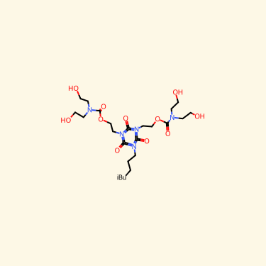 CCC(C)CCCn1c(=O)n(CCOC(=O)N(CCO)CCO)c(=O)n(CCOC(=O)N(CCO)CCO)c1=O